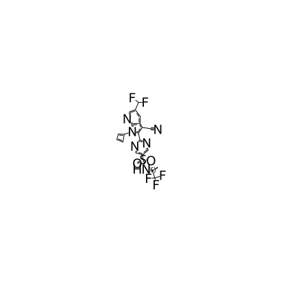 C[C@H](NS(=O)(=O)c1cnc(-c2c(C#N)c3cc(C(F)F)cnc3n2C2=CC=C2)nc1)C(F)(F)F